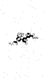 C=CC(=O)N1C[C@@H](COC)N(C(C)=O)[C@H](c2cc(Cl)nc(-c3cc(C(=O)NC)ncn3)c2)C1